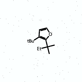 CCC(C)(C)c1occc1C(C)(C)C